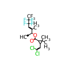 C#CC(OC(=O)C1C(C=C(Cl)Cl)C1(C)C)/C(C)=C/C(F)(F)C(F)(F)C(F)(F)F